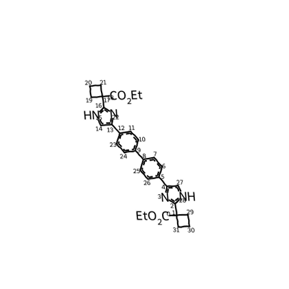 CCOC(=O)C1(c2nc(-c3ccc(-c4ccc(-c5c[nH]c(C6(C(=O)OCC)CCC6)n5)cc4)cc3)c[nH]2)CCC1